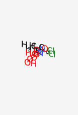 C=C(/C=C\C(=C/C)OCCO)[C@@H](CN1CC[C@H](OCCOCCOCCO)C1)N(C)C(=O)Cc1ccc(Cl)c(Cl)c1